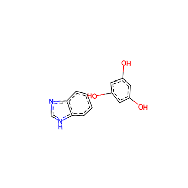 Oc1cc(O)cc(O)c1.c1ccc2[nH]cnc2c1